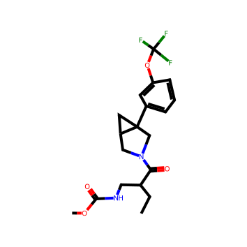 CCC(CNC(=O)OC)C(=O)N1CC2CC2(c2cccc(OC(F)(F)F)c2)C1